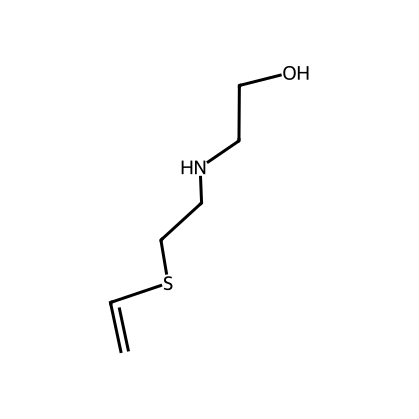 C=CSCCNCCO